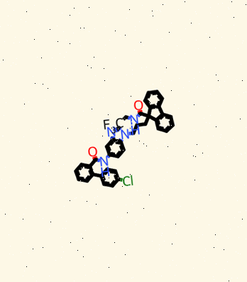 O=C(Nc1ccc2c(c1)ncn2CCCC1(C(=O)NCC(F)(F)F)c2ccccc2-c2ccccc21)c1ccccc1-c1ccc(Cl)cc1